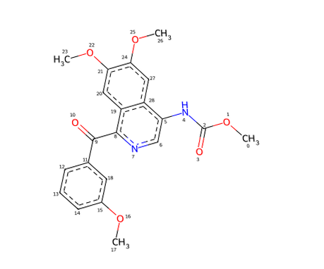 COC(=O)Nc1cnc(C(=O)c2cccc(OC)c2)c2cc(OC)c(OC)cc12